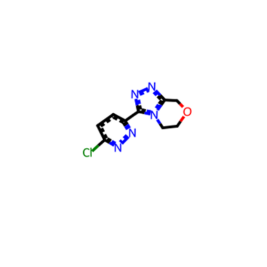 Clc1ccc(-c2nnc3n2CCOC3)nn1